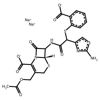 CC(=O)OCC1=C(C(=O)[O-])N2C(=O)C(NC(=O)C(Sc3ccccc3C(=O)[O-])c3csc(N)n3)[C@@H]2SC1.[Na+].[Na+]